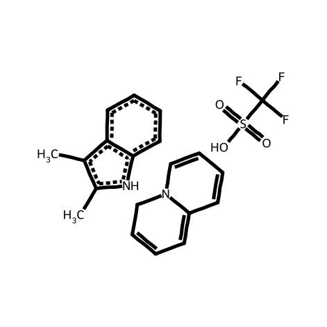 C1=CCN2C=CC=CC2=C1.Cc1[nH]c2ccccc2c1C.O=S(=O)(O)C(F)(F)F